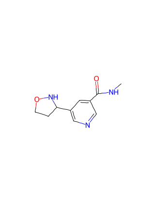 CNC(=O)c1cncc(C2CCON2)c1